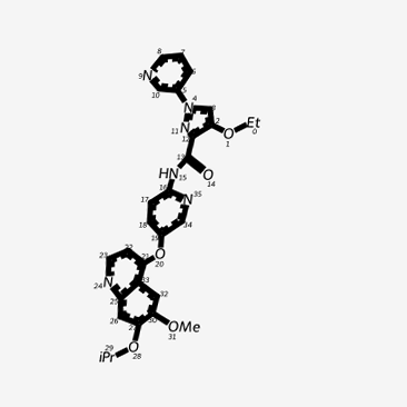 CCOc1cn(-c2cccnc2)nc1C(=O)Nc1ccc(Oc2ccnc3cc(OC(C)C)c(OC)cc23)cn1